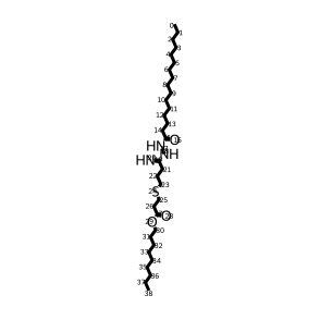 CCCCCCCCCCCCCCCC(=O)NNC(=N)CCCSCCC(=O)OCCCCCCCCC